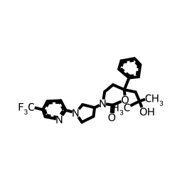 CC(C)(O)CC1(c2ccccc2)CCN(C2CCN(c3ccc(C(F)(F)F)cn3)C2)C(=O)O1